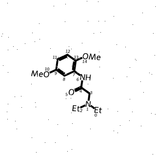 CCN(CC)CC(=O)Nc1cc(OC)ccc1OC